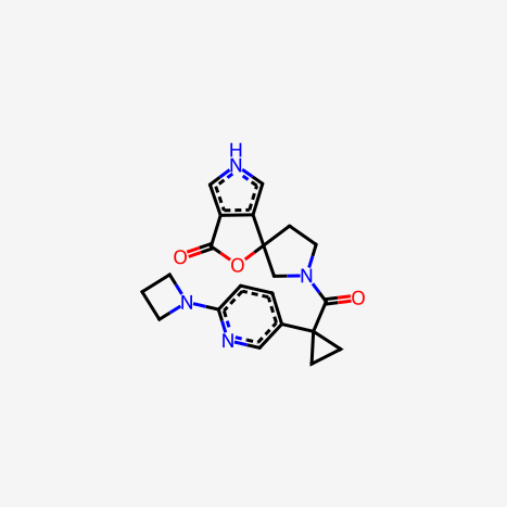 O=C1OC2(CCN(C(=O)C3(c4ccc(N5CCC5)nc4)CC3)C2)c2c[nH]cc21